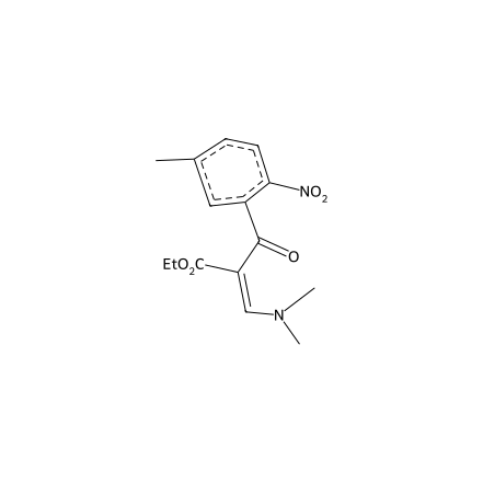 CCOC(=O)/C(=C/N(C)C)C(=O)c1cc(C)ccc1[N+](=O)[O-]